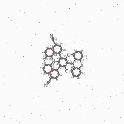 Cc1c(-c2ccc(C#N)cc2)c(N2c3ccccc3Sc3ccccc32)c(-c2ccc(C#N)cc2)c(C)c1N1c2ccccc2Sc2ccccc21